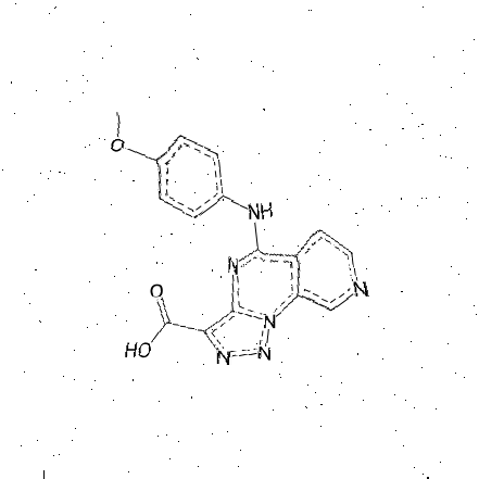 COc1ccc(Nc2nc3c(C(=O)O)nnn3c3cnccc23)cc1